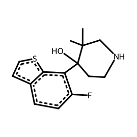 CC1(C)CNCCC1(O)c1c(F)ccc2ccsc12